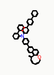 C=C1/C=C\C=C/COc2ccc3cc(-c4ccc(N(C5=CCC(C6=CCC(C7=CCCC=C7)C=C6)C=C5)C5=CCCC=C5c5ccccc5)cc4)ccc3c21